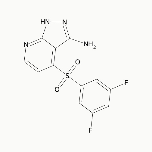 Nc1n[nH]c2nccc(S(=O)(=O)c3cc(F)cc(F)c3)c12